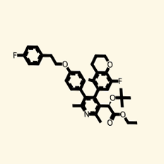 CCOC(=O)[C@@H](OC(C)(C)C)c1c(C)nc(C)c(-c2ccc(OCCc3ccc(F)cc3)cc2)c1-c1cc(F)c2c(c1C)CCCO2